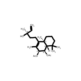 C=C[C@](C)(O)CCC1=C(C)[C@H](OC(C)=O)[C@H](OC(C)=O)[C@H]2C(C)(C)CCC[C@]12C